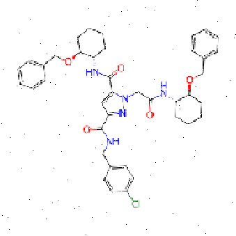 O=C(Cn1nc(C(=O)NCc2ccc(Cl)cc2)cc1C(=O)N[C@H]1CCCC[C@@H]1OCc1ccccc1)N[C@H]1CCCC[C@@H]1OCc1ccccc1